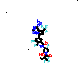 CCC(O)(C(=O)N1C[C@H](F)[C@H](NC(=O)c2cc(-c3cc(C(F)(F)F)c4c(N)ncnn34)cc(F)c2CF)C1)C(F)(F)F